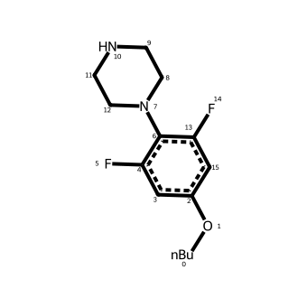 CCCCOc1cc(F)c(N2CCNCC2)c(F)c1